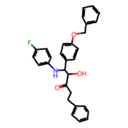 O=C(CCc1ccccc1)C(O)C(Nc1ccc(F)cc1)c1ccc(OCc2ccccc2)cc1